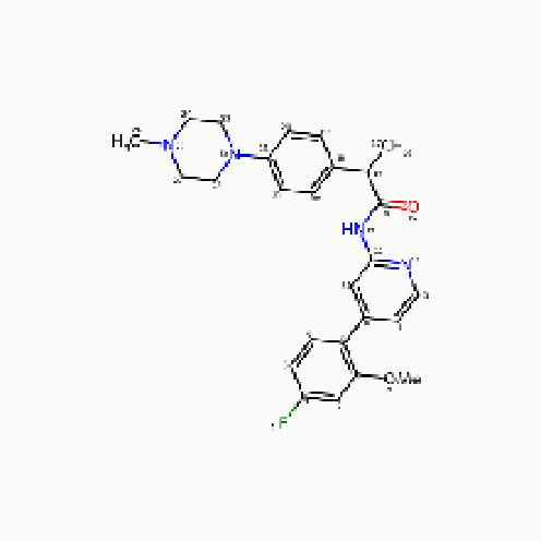 COc1cc(F)ccc1-c1ccnc(NC(=O)C(C)c2ccc(N3CCN(C)CC3)cc2)c1